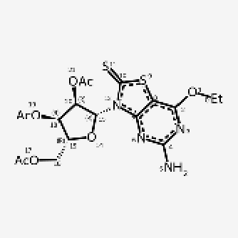 CCOc1nc(N)nc2c1sc(=S)n2[C@@H]1O[C@H](COC(C)=O)[C@@H](OC(C)=O)[C@H]1OC(C)=O